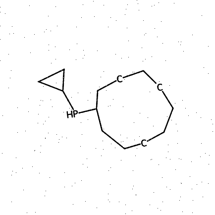 C1CCCCC(PC2CC2)CCCC1